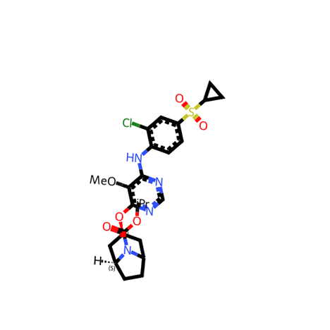 COc1c(Nc2ccc(S(=O)(=O)C3CC3)cc2Cl)ncnc1O[C@H]1CC2CC[C@@H](C1)N2C(=O)OC(C)C